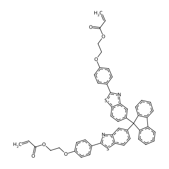 C=CC(=O)OCCOc1ccc(-c2nc3cc(C4(c5ccc6sc(-c7ccc(OCCOC(=O)C=C)cc7)nc6c5)c5ccccc5-c5ccccc54)ccc3s2)cc1